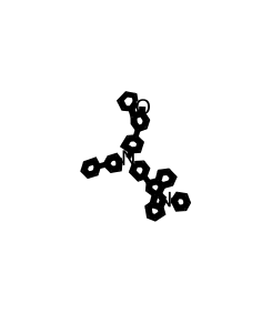 C1=Cc2c(oc3ccc(-c4ccc(N(c5ccc(-c6ccccc6)cc5)c5ccc(-c6cc7c8ccccc8n(-c8ccccc8)c7c7ccccc67)cc5)cc4)cc23)CC1